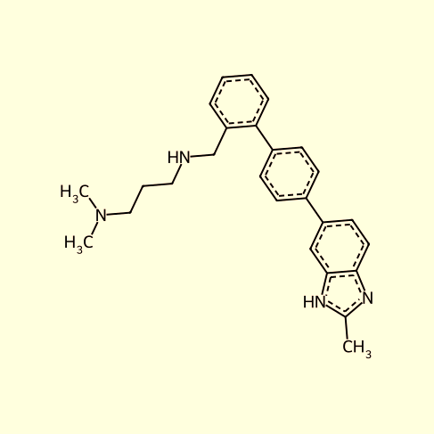 Cc1nc2ccc(-c3ccc(-c4ccccc4CNCCCN(C)C)cc3)cc2[nH]1